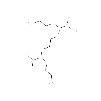 CC(C)N(C(C)C)P(OCCC#N)OCCOP(OCCC#N)N(C(C)C)C(C)C